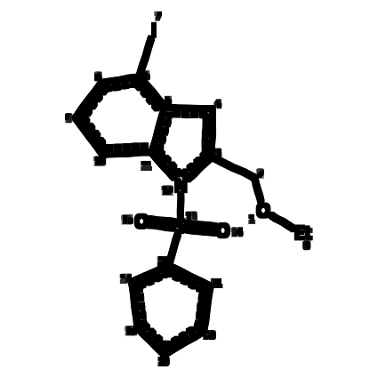 CCOCc1cc2c(I)cccc2n1S(=O)(=O)c1ccccc1